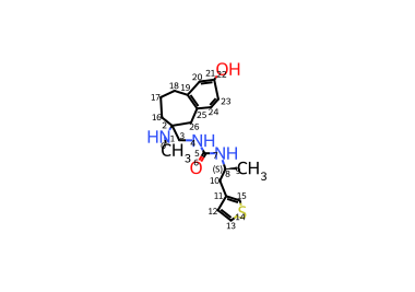 CNC1(CNC(=O)N[C@@H](C)Cc2ccsc2)CCCc2cc(O)ccc2C1